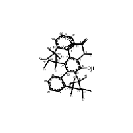 C=C(C(=O)O)C(C)c1c(O)c(C(C)(C)CC)c(-c2ccccc2C(C)(C)CC)c(C(C)(C)CC)c1-c1ccccc1C(C)(C)CC